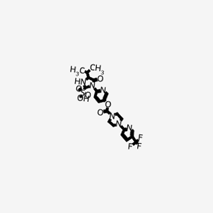 CC(C)C1NC(S(=O)(=O)O)N(c2ccc(OC(=O)N3CCN(c4ccc(C(F)(F)F)cn4)CC3)cn2)C1=O